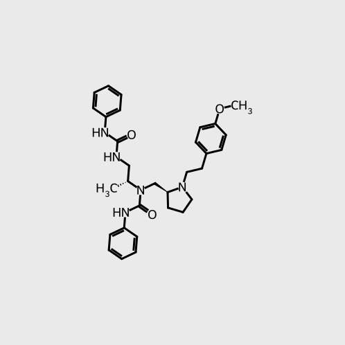 COc1ccc(CCN2CCC[C@H]2CN(C(=O)Nc2ccccc2)[C@H](C)CNC(=O)Nc2ccccc2)cc1